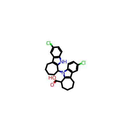 O=C(O)C1CCCCc2c1n(C1CCCCc3c1[nH]c1ccc(Cl)cc31)c1ccc(Cl)cc21